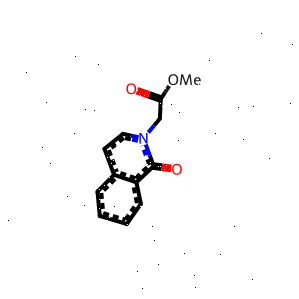 COC(=O)Cn1ccc2ccccc2c1=O